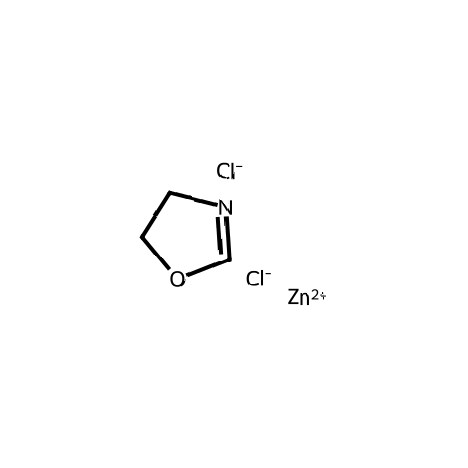 C1=NCCO1.[Cl-].[Cl-].[Zn+2]